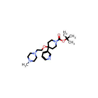 CN1CCN(CCOC2(c3cccnc3)CCN(C(=O)OC(C)(C)C)CC2)CC1